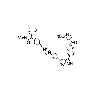 CNC(=O)C(CCC=O)c1ccc(CCN2CCN(c3ccc(-c4cnc5[nH]nc(-c6ccc([C@@H](C)NC(=O)c7cn(C(C)(C)C)nn7)c(C)c6)c5c4)cc3)CC2)cc1